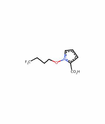 O=C(O)c1cccn1OCCCC(F)(F)F